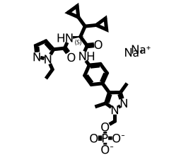 CCn1nccc1C(=O)N[C@H](C(=O)Nc1ccc(-c2c(C)nn(COP(=O)([O-])[O-])c2C)cc1)C(C1CC1)C1CC1.[Na+].[Na+]